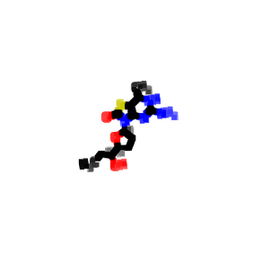 C=C1NC(N)=Nc2c1sc(=O)n2[C@H]1CC[C@@H]([C@@H](O)CC)O1